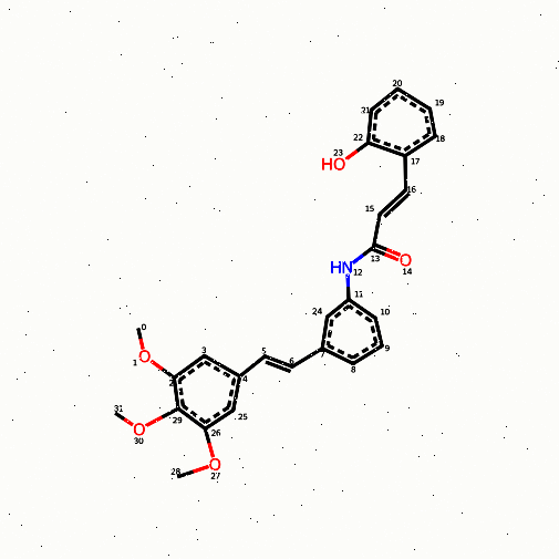 COc1cc(/C=C/c2cccc(NC(=O)/C=C/c3ccccc3O)c2)cc(OC)c1OC